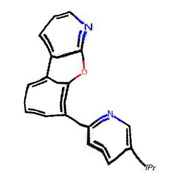 CC(C)c1ccc(-c2cccc3c2oc2ncccc23)nc1